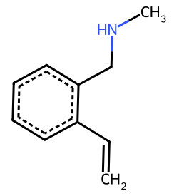 C=Cc1ccccc1CNC